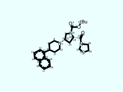 CC(C)(C)OC(=O)N1C[C@@H](N2CCC(c3cccc4ccccc34)CC2)C[C@H]1C(=O)N1CCSC1